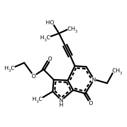 CCOC(=O)c1c(C)[nH]c2c(=O)n(CC)cc(C#CC(C)(C)O)c12